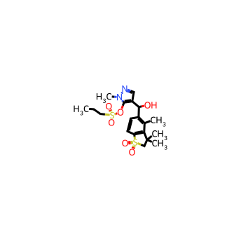 CCCS(=O)(=O)Oc1c(C(O)c2ccc3c(c2C)C(C)(C)CS3(=O)=O)cnn1C